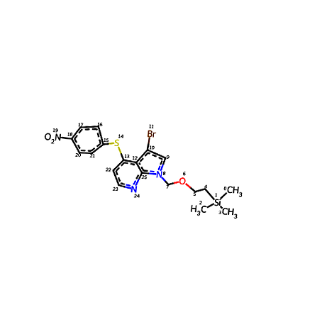 C[Si](C)(C)CCOCn1cc(Br)c2c(Sc3ccc([N+](=O)[O-])cc3)ccnc21